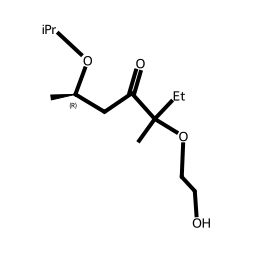 CCC(C)(OCCO)C(=O)C[C@@H](C)OC(C)C